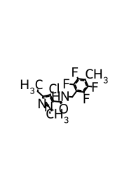 CCc1nn(C)c(C(=O)NCc2c(F)c(F)c(C)c(F)c2F)c1Cl